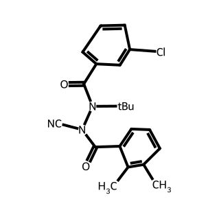 Cc1cccc(C(=O)N(C#N)N(C(=O)c2cccc(Cl)c2)C(C)(C)C)c1C